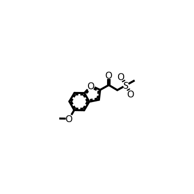 COc1ccc2oc(C(=O)CS(C)(=O)=O)cc2c1